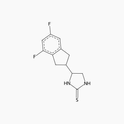 Fc1cc(F)c2c(c1)CC(C1CNC(=S)N1)C2